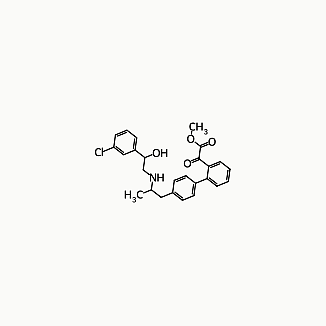 COC(=O)C(=O)c1ccccc1-c1ccc(CC(C)NCC(O)c2cccc(Cl)c2)cc1